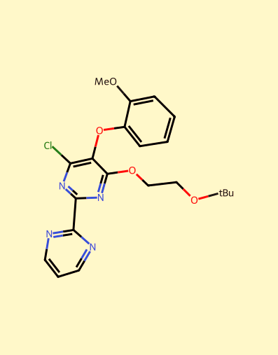 COc1ccccc1Oc1c(Cl)nc(-c2ncccn2)nc1OCCOC(C)(C)C